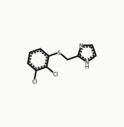 Clc1cccc(SCc2ncc[nH]2)c1Cl